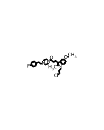 CCOc1ccc2c(c1)c(C=CC(=O)N1CCN(CCc3ccc(F)cc3)CC1)c(C)n2CCCCl